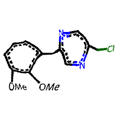 COc1cccc(-c2cnc(Cl)cn2)c1OC